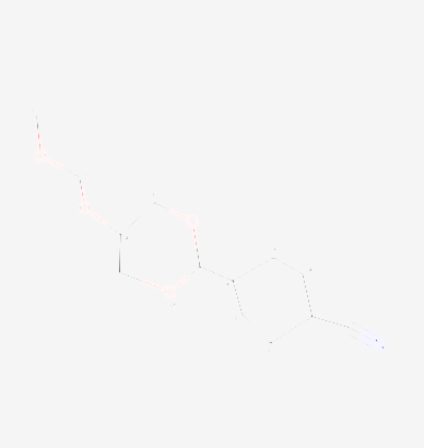 COCOC1COC(C2CCC(C#N)CC2)OC1